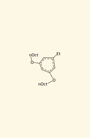 CCCCCCCCOc1cc(CC)cc(OCCCCCCCC)c1